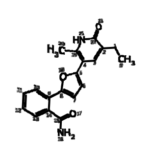 CCc1cc(-c2ccc(-c3ccccc3C(N)=O)o2)c(C)[nH]c1=O